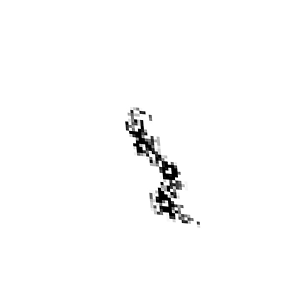 COc1ncc(-c2ccnc(NC(=O)O[C@H]3CC[C@H](Nc4ncc(C(F)(F)F)c(-c5nn(C)cc5Cl)n4)CC3)c2)cn1